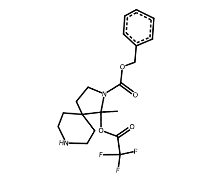 CC1(OC(=O)C(F)(F)F)N(C(=O)OCc2ccccc2)CCC12CCNCC2